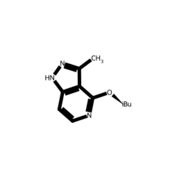 CC[C@H](C)Oc1nccc2[nH]nc(C)c12